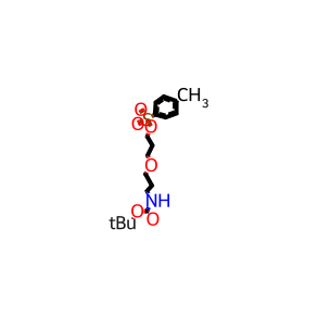 Cc1ccc(S(=O)(=O)OCCCOCCCNC(=O)OC(C)(C)C)cc1